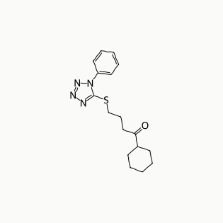 O=C(CCCSc1nnnn1-c1ccccc1)C1CCCCC1